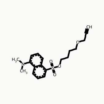 C#CCOCCCCOS(=O)(=O)c1cccc2c(N(C)C)cccc12